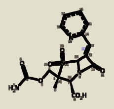 C[C@]1(COC(N)=O)[C@H](C(=O)O)N2C(=O)/C(=C/c3ccccn3)C2S1(=O)=O